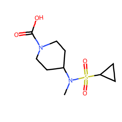 CN(C1CCN(C(=O)O)CC1)S(=O)(=O)C1CC1